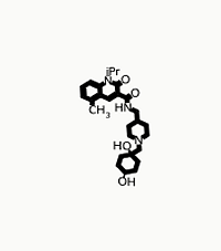 Cc1cccc2c1cc(C(=O)NCC1CCN(C[C@]3(O)CC[C@H](O)CC3)CC1)c(=O)n2C(C)C